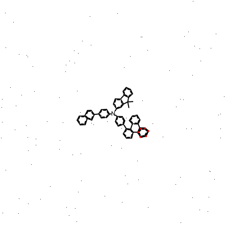 CC1(C)c2ccccc2-c2ccc(N(c3ccc(-c4ccc5ccccc5c4)cc3)c3ccc(-c4cccc(-c5ccccc5)c4-c4ccccc4-c4ccccc4)cc3)cc21